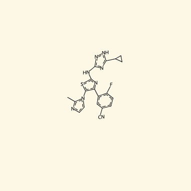 Cc1nccn1-c1sc(Nc2n[nH]c(C3CC3)n2)nc1-c1cc(C#N)ccc1F